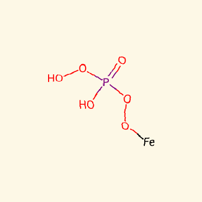 O=P(O)(OO)O[O][Fe]